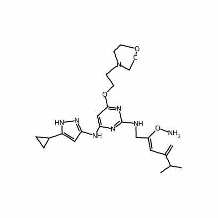 C=C(/C=C(/CNc1nc(Nc2cc(C3CC3)[nH]n2)cc(OCCN2CCOCC2)n1)ON)C(C)C